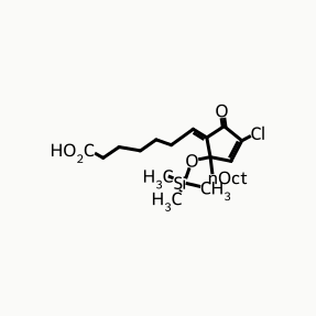 CCCCCCCCC1(O[Si](C)(C)C)C=C(Cl)C(=O)C1=CCCCCCC(=O)O